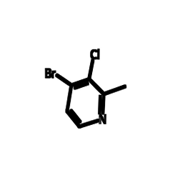 Cc1nccc(Br)c1Cl